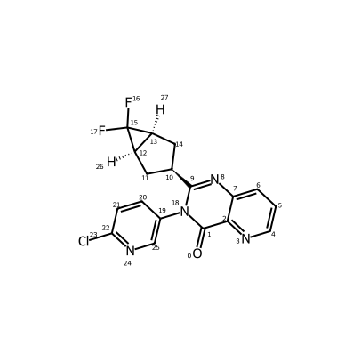 O=c1c2ncccc2nc([C@H]2C[C@@H]3[C@H](C2)C3(F)F)n1-c1ccc(Cl)nc1